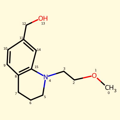 COCCN1CCCc2ccc(CO)cc21